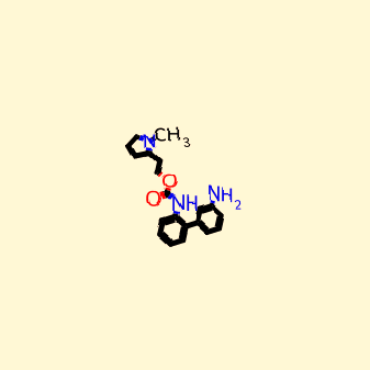 CN1CCCC1CCOC(=O)Nc1ccccc1-c1cccc(N)c1